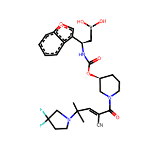 CC(C)(C=C(C#N)C(=O)N1CCC[C@H](OC(=O)N[C@H](CB(O)O)c2coc3ccccc23)C1)N1CCC(F)(F)C1